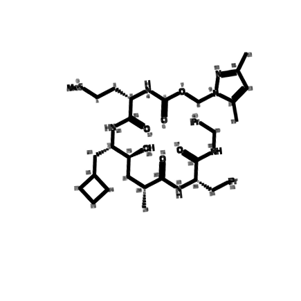 CSCC[C@H](NC(=O)OCn1nc(C)cc1C)C(=O)N[C@@H](CC1CCC1)[C@@H](O)C[C@@H](C)C(=O)N[C@@H](CC(C)C)C(=O)NCC(C)C